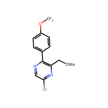 COCc1nc(Cl)cnc1-c1ccc(OC(F)(F)F)cc1